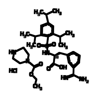 CC(C)c1cc(C(C)C)c(S(=O)(=O)N[C@@H](Cc2cccc(C(=N)N)c2)C(=O)O)c(C(C)C)c1.CCOC(=O)N1CCNCC1.Cl